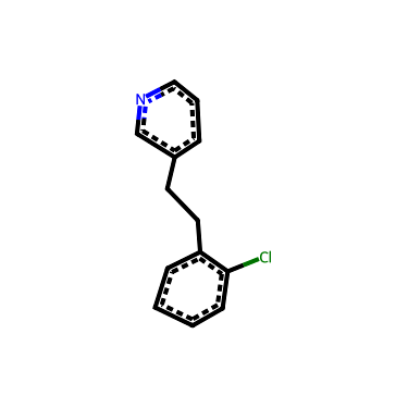 Clc1ccccc1CCc1cccnc1